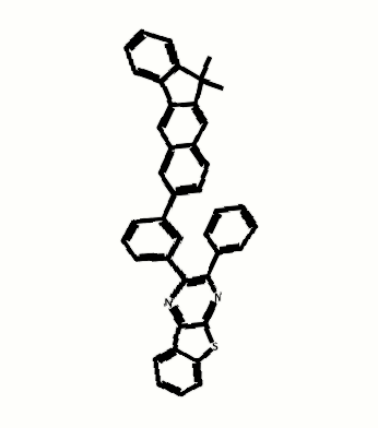 CC1(C)c2ccccc2-c2cc3cc(-c4cccc(-c5nc6c(nc5-c5ccccc5)sc5ccccc56)c4)ccc3cc21